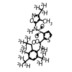 [2H]c1c(C([2H])([2H])[2H])cc(C([2H])([2H])[2H])c(N([2H])C(=O)c2sccc2S(=O)(=O)N([2H])c2onc(C([2H])([2H])[2H])c2C)c1C(=O)C([2H])([2H])[2H]